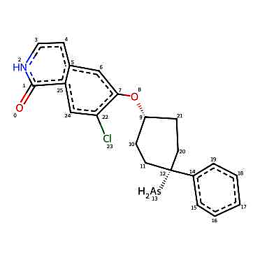 O=c1[nH]ccc2cc(O[C@H]3CC[C@]([AsH2])(c4ccccc4)CC3)c(Cl)cc12